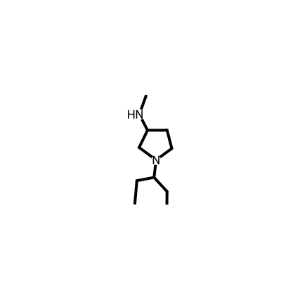 CCC(CC)N1CCC(NC)C1